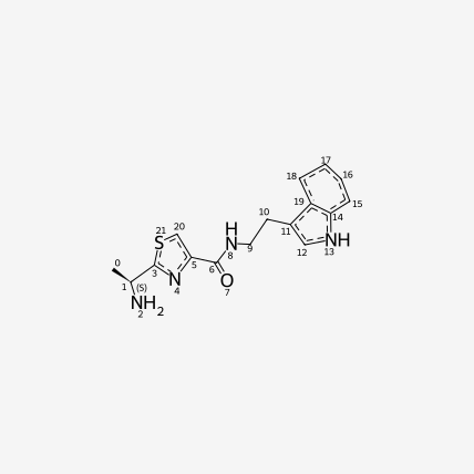 C[C@H](N)c1nc(C(=O)NCCc2c[nH]c3ccccc23)cs1